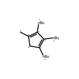 CCCCC1=C(CCCC)C(CCCC)=C(C)C1